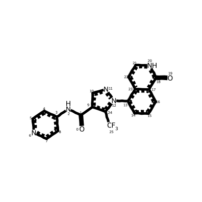 O=C(Nc1ccncc1)c1cnn(-c2cccc3c(=O)[nH]ccc23)c1C(F)(F)F